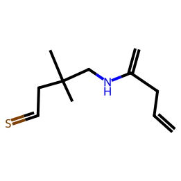 C=CCC(=C)NCC(C)(C)CC=S